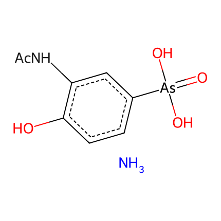 CC(=O)Nc1cc([As](=O)(O)O)ccc1O.N